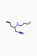 C=CCC(CC#N)NCCCC